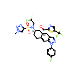 Cn1cc(S(=O)(=O)N(CC(F)F)[C@H]2CCC3=Cc4c(cnn4-c4ccc(F)cc4)C[C@]3(C(=O)c3ncc(C(F)(F)F)s3)C2)nn1